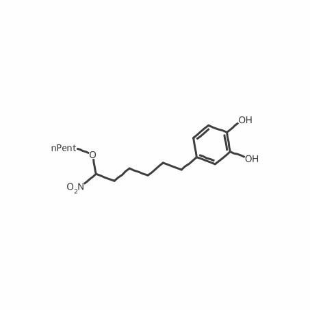 CCCCCOC(CCCCCc1ccc(O)c(O)c1)[N+](=O)[O-]